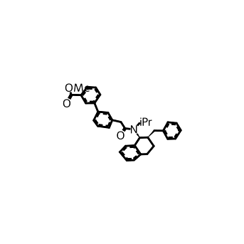 COC(=O)c1cccc(-c2cccc(CC(=O)N(C(C)C)[C@@H]3c4ccccc4CC[C@@H]3Cc3ccccc3)c2)c1